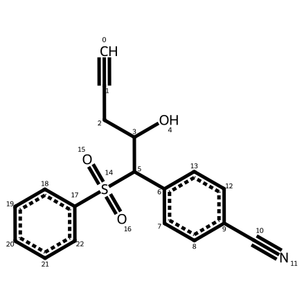 C#CCC(O)C(c1ccc(C#N)cc1)S(=O)(=O)c1ccccc1